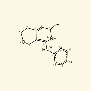 CC1C=C2CCOCC2=C(Nc2ccccc2)N1